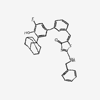 O=C1N=C(NCc2ccccc2)SC1=Cc1cccc(-c2cc(F)c(O)c(C34CC5CC(CC(C5)C3)C4)c2)c1